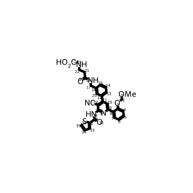 COCOc1ccccc1-c1cc(-c2cccc(CNC(=O)CCNC(=O)O)c2)c(C#N)c(NC(=O)c2cccs2)n1